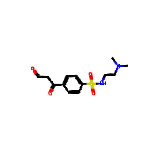 CN(C)CCNS(=O)(=O)c1ccc(C(=O)CC=O)cc1